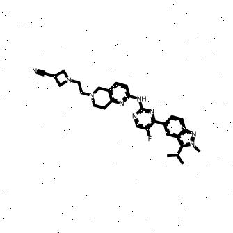 CC(C)c1c2cc(-c3nc(Nc4ccc5c(n4)CCN(CCN4CC(C#N)C4)C5)ncc3F)ccc2nn1C